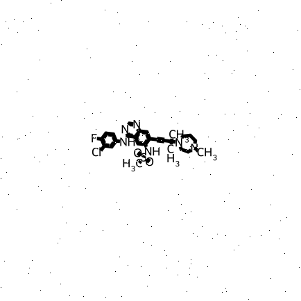 CN1CCCN(C(C)(C)C#Cc2cc3ncnc(Nc4ccc(F)c(Cl)c4)c3cc2NS(C)(=O)=O)CC1